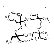 CCC(C)(OO)OOC(C)(CC)OO.CCC(C)(OO)OOC(C)(CC)OO